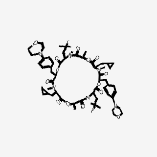 CC1OC(=O)C(CC2CC2)N(C)C(=O)C(Cc2ccc(N3CCOCC3)cc2)OC(=O)C(CC(C)(C)F)N(C)C(=O)C(C)OC(=O)C(CC2CC2)N(C)C(=O)C(Cc2ccc(N3CCOCC3)cc2)OC(=O)C(CC(C)(C)F)N(C)C1=O